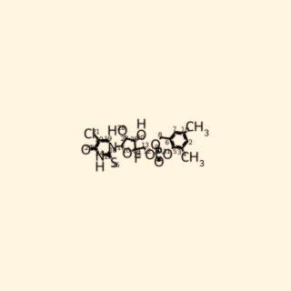 Cc1cc(C)c2c(c1)COP(=O)(OC[C@@]1(F)O[C@@H](n3cc(Cl)c(=O)[nH]c3=S)[C@H](O)[C@@H]1O)O2